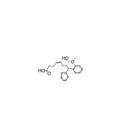 COc1ccccc1C(c1ccccc1)[C@@H](CO)C/C=C\CCC(=O)O